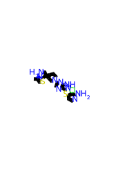 Cc1csc(C2(CN)C3CCN(c4cnc5c(Sc6ccnc(N)c6Cl)n[nH]c5n4)CC32)n1